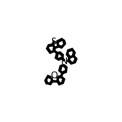 c1ccc2c(N(c3ccc(-c4cccc5c4oc4ccccc45)cc3)c3ccc(-c4cccc5sc6ccccc6c45)cc3)cccc2c1